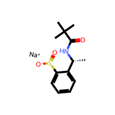 C[C@@H](NC(=O)C(C)(C)C)c1ccccc1S(=O)[O-].[Na+]